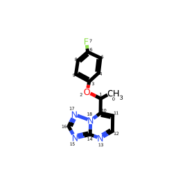 CC(Oc1ccc(F)cc1)c1ccnc2ncnn12